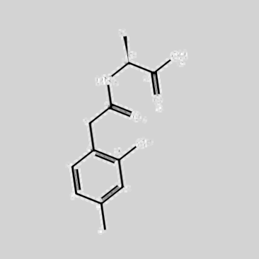 Cc1ccc(CC(=O)N[C@@H](C)C(=O)O)c(Cl)c1